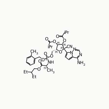 CCC(CC)COC(=O)[C@H](C)N[P@](=O)(OCc1ccccc1C)OC[C@H]1O[C@@](C#N)(c2ccc3c(N)ncnn23)[C@H](OC(=O)C(C)C)[C@@H]1OC(=O)C(C)C